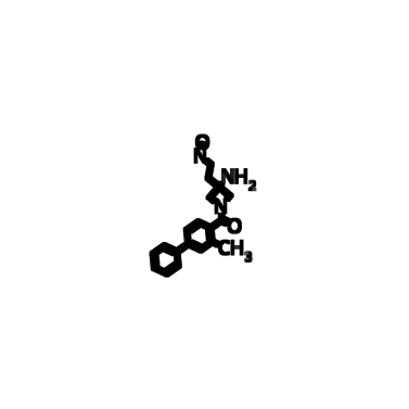 Cc1cc(-c2ccccc2)ccc1C(=O)N1CC(N)(CCN=O)C1